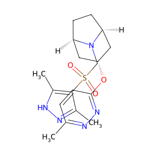 Cc1ccc(O[C@@H]2C[C@H]3CC[C@@H](C2)N3CS(=O)(=O)c2c(C)n[nH]c2C)nn1